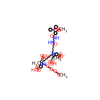 COCCOCCOCCOCC[N+]1=C(/C=C/C=C/C=C/C=C2/N(CCCCCC(=O)NCCNC(=O)c3ccc(C(=O)OC)c(P(c4ccccc4)c4ccccc4)c3)c3ccc(S(=O)(=O)[O-])cc3C2(C)CCCS(=O)(=O)O)C(C)(CCCS(=O)(=O)O)c2cc(S(=O)(=O)O)ccc21